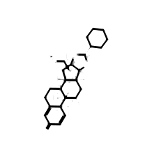 CSCC(=O)[C@@]12O[C@H](C3CCCCC3)O[C@@H]1C[C@H]1[C@@H]3CCC4=CC(=O)C=C[C@]4(C)[C@@]3(F)[C@@H](O)C[C@@]12C